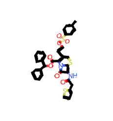 Cc1ccc(S(=O)(=O)OC=CC2=C(C(=O)OC(c3ccccc3)c3ccccc3)N3C(=O)C(NC(=O)Cc4cccs4)C3SC2)cc1